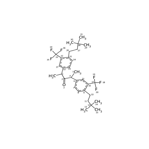 CC(C(=O)C(C)c1ccc(CCC(C)(C)C)c(C(F)(F)F)c1)c1ccc(CCC(C)(C)C)c(C(F)(F)F)c1